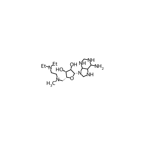 CCN(CC)CCN(C)C[C@H]1O[C@@H](N2CNC3C(N)NCNC32)[C@H](O)[C@@H]1O